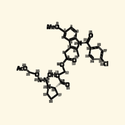 COc1ccc2c(c1)c(CC(=O)OCOC(=O)[C@@H]1CCCN1/[N+](O)=N/OCOC(C)=O)c(C)n2C(=O)c1ccc(Cl)cc1